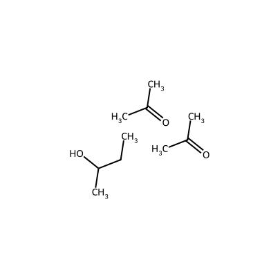 CC(C)=O.CC(C)=O.CCC(C)O